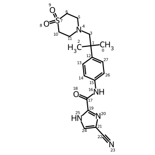 CC(C)(CN1CCS(=O)(=O)CC1)c1ccc(NC(=O)c2nc(C#N)c[nH]2)cc1